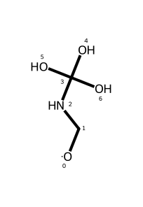 [O]CNC(O)(O)O